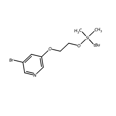 CC(C)(C)[Si](C)(C)OCCOc1cncc(Br)c1